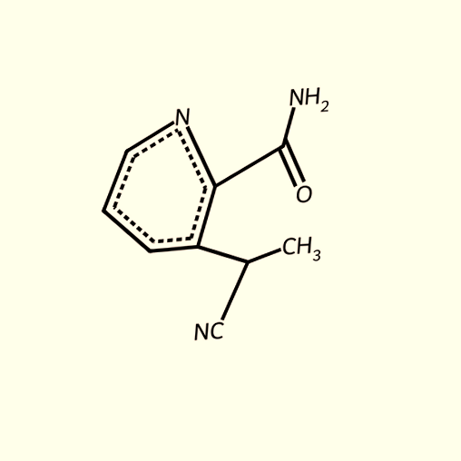 CC(C#N)c1cccnc1C(N)=O